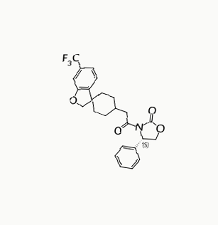 O=C(CC1CCC2(CC1)COc1cc(C(F)(F)F)ccc12)N1C(=O)OC[C@@H]1c1ccccc1